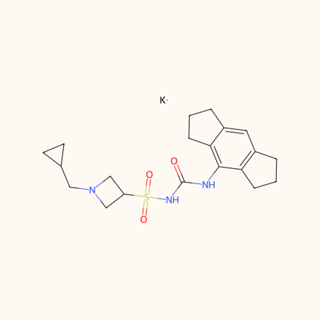 O=C(Nc1c2c(cc3c1CCC3)CCC2)NS(=O)(=O)C1CN(CC2CC2)C1.[K]